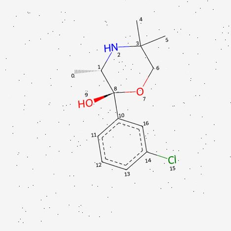 C[C@@H]1NC(C)(C)CO[C@]1(O)c1cccc(Cl)c1